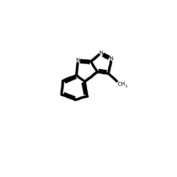 CC1=C2C(=Nc3ccccc32)N=N1